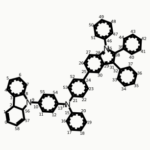 C1=CC2c3ccccc3N(c3ccc(N(c4ccccc4)c4ccc(-c5ccc6c(c5)c(-c5ccccc5)c(-c5ccccc5)n6-c5ccccc5)cc4)cc3)C2C=C1